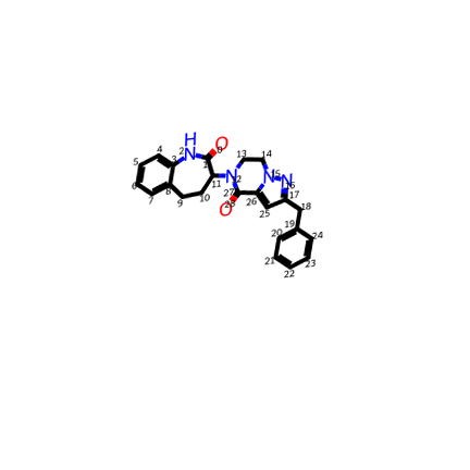 O=C1Nc2ccccc2CCC1N1CCn2nc(Cc3ccccc3)cc2C1=O